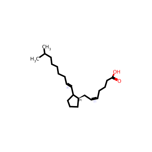 CC(C)CCCCC/C=C/C1CCC[C@@H]1C/C=C\CCCC(=O)O